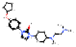 CN(C)CCN(C)C1CCC(n2ccn(-c3ccc(OC4CCCC4)cc3)c2=O)CC1